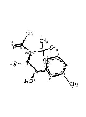 Cc1cccc([C@@H](O)[C@H](C)N(C(=O)O)C(C)(C)C)c1